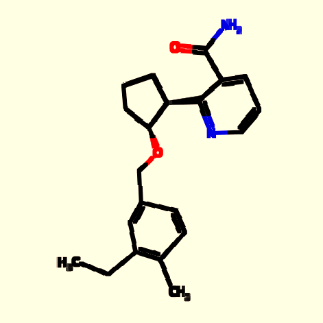 CCc1cc(CO[C@H]2CCC[C@H]2c2ncccc2C(N)=O)ccc1C